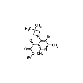 Cc1nc(C)c(C(=O)C(=O)OC(C)C)c(N2CC(C)(C)C2)c1Br